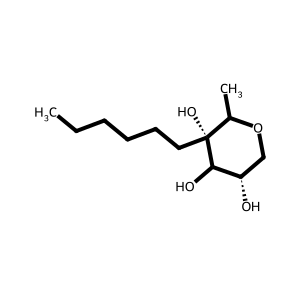 CCCCCC[C@@]1(O)C(C)OC[C@H](O)C1O